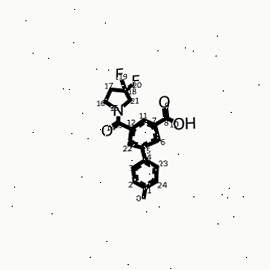 Cc1ccc(-c2cc(C(=O)O)cc(C(=O)N3CCC(F)(F)C3)c2)cc1